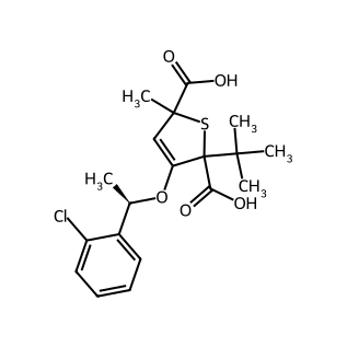 C[C@@H](OC1=CC(C)(C(=O)O)SC1(C(=O)O)C(C)(C)C)c1ccccc1Cl